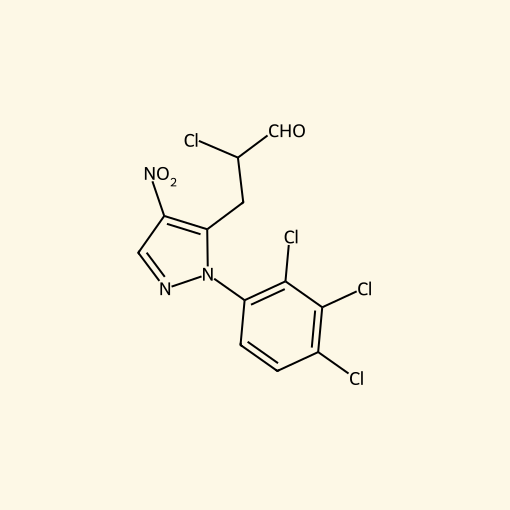 O=CC(Cl)Cc1c([N+](=O)[O-])cnn1-c1ccc(Cl)c(Cl)c1Cl